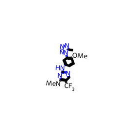 CNc1nc(Nc2ccc(OC)c(-n3nnnc3C)c2)ncc1C(F)(F)F